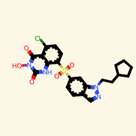 O=c1[nH]c2c(S(=O)(=O)c3ccc4cnn(CCC5CCCC5)c4c3)ccc(Cl)c2c(=O)n1O